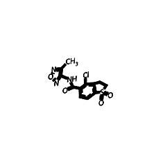 Cc1nonc1NC(=O)c1ccc2c(c1Cl)CCS2(=O)=O